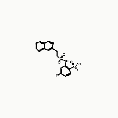 NS(=O)(=O)c1ccc(F)cc1NS(=O)(=O)CCc1ccc2ccccc2c1